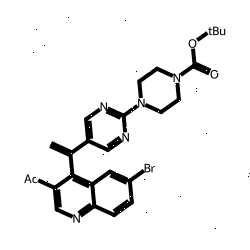 C=C(c1cnc(N2CCN(C(=O)OC(C)(C)C)CC2)nc1)c1c(C(C)=O)cnc2ccc(Br)cc12